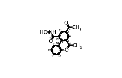 CC(=O)c1cc(C(C)=O)c(-c2ccccc2)c(C(=O)NO)c1